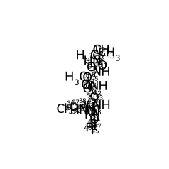 COC(=O)[C@H](CCNC(=O)C(=O)NCC(C)(C)C)NC(=O)c1ccc(Nc2nc(NC3(c4ccc(Cl)cc4)CC3)nc(OCC(F)(F)F)n2)cc1